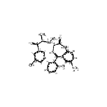 CC(NC(C)(C)C)C(=O)c1cccc(Cl)c1.O=C1CN=C(c2ccccc2Cl)c2cc([N+](=O)[O-])ccc2N1